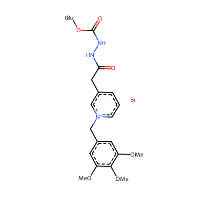 COc1cc(C[n+]2cccc(CC(=O)NNC(=O)OC(C)(C)C)c2)cc(OC)c1OC.[Br-]